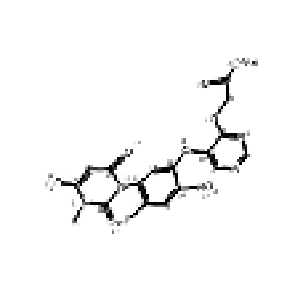 COC(=O)COc1ncncc1Oc1cc(-n2c(=O)cc(C(F)(F)F)n(C)c2=O)c(F)cc1[N+](=O)[O-]